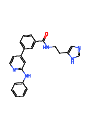 O=C(NCCc1cnc[nH]1)c1cccc(-c2ccnc(Nc3ccccc3)c2)c1